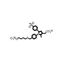 Cc1c(CC(=O)O)cc(-c2ccc(S(C)(=O)=O)cc2)n1-c1ccc(CSCCCCO[N+](=O)[O-])cc1